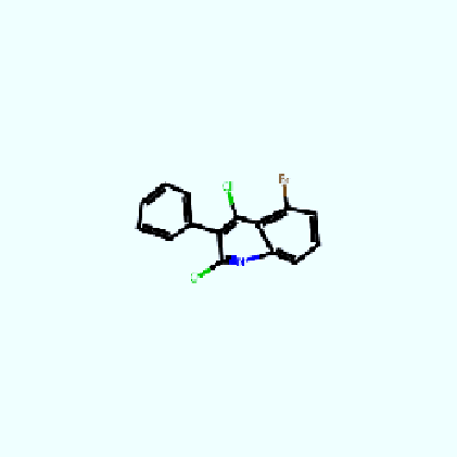 Clc1nc2cccc(Br)c2c(Cl)c1-c1ccccc1